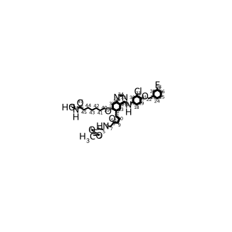 CS(=O)(=O)CCNCc1ccc(-c2cc3c(Nc4ccc(OCc5cccc(F)c5)c(Cl)c4)ncnc3cc2OCCCCCCC(=O)NO)o1